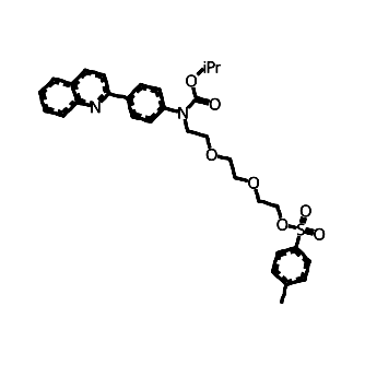 Cc1ccc(S(=O)(=O)OCCOCCOCCN(C(=O)OC(C)C)c2ccc(-c3ccc4ccccc4n3)cc2)cc1